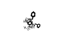 CNc1cc(NC)c(N=Cc2ccccc2)cc1N=Cc1ccccc1